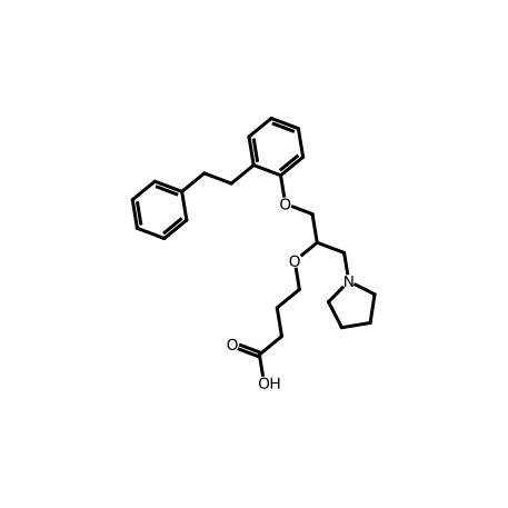 O=C(O)CCCOC(COc1ccccc1CCc1ccccc1)CN1CCCC1